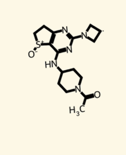 CC(=O)N1CCC(Nc2nc(N3C[CH]C3)nc3c2[S+]([O-])CC3)CC1